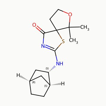 CC1(C)OCCC12SC(N[C@H]1C[C@@H]3CC[C@H]1C3)=NC2=O